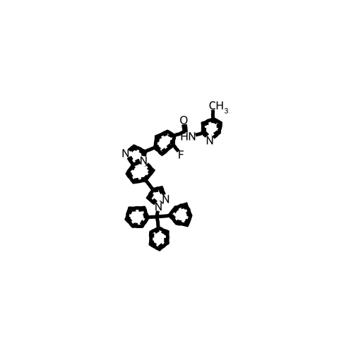 Cc1ccnc(NC(=O)c2ccc(-c3cnc4ccc(-c5cnn(C(c6ccccc6)(c6ccccc6)c6ccccc6)c5)cn34)cc2F)c1